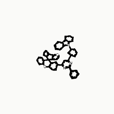 c1ccc(-c2nc(-c3cccc(-n4c5ccccc5c5ccccc54)c3)cc(-c3ccc4c(c3)C3(c5ccccc5O4)c4ccccc4-c4ccccc43)n2)cc1